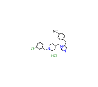 Cl.N#Cc1ccc(Cc2cncn2CC2CCN(Cc3cccc(Cl)c3)CC2)cc1